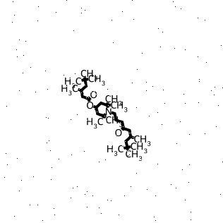 CC(CC(=O)CCCN1C(C)(C)CC(OC(=O)CC(C)CC(C)(C)C)CC1(C)C)CC(C)(C)C